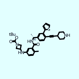 Cc1ccc(NC2CN(C(=O)OC(C)(C)C)C2)cc1C(=O)N[C@H](C)c1ccc(C#CC2CCNCC2)c(-c2cccs2)c1